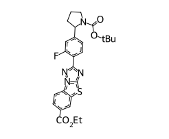 CCOC(=O)c1ccc2c(c1)sc1nc(-c3ccc(C4CCCN4C(=O)OC(C)(C)C)cc3F)nn12